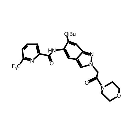 CC(C)COc1cc2nn(CC(=O)N3CCOCC3)cc2cc1NC(=O)c1cccc(C(F)(F)F)n1